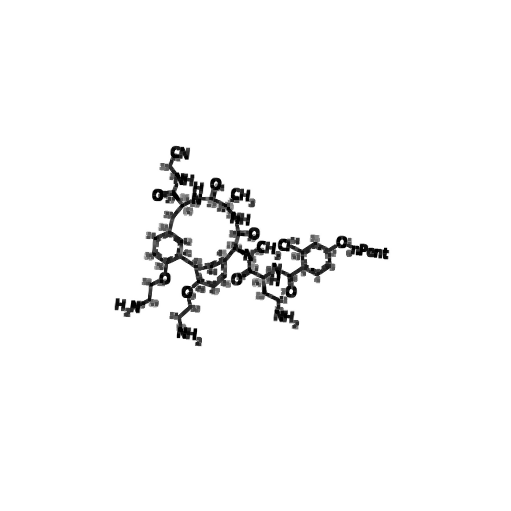 CCCCCOc1ccc(C(=O)N[C@@H](CCN)C(=O)N(C)[C@@H]2C(=O)N[C@@H](C)C(=O)N[C@H](C(=O)NCC#N)Cc3ccc(OCCN)c(c3)-c3cc2ccc3OCCN)c(Cl)c1